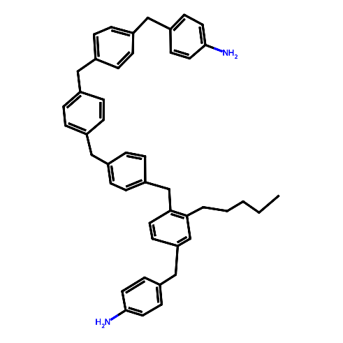 CCCCCc1cc(Cc2ccc(N)cc2)ccc1Cc1ccc(Cc2ccc(Cc3ccc(Cc4ccc(N)cc4)cc3)cc2)cc1